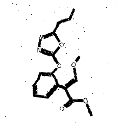 CCCc1nnc(Oc2ccccc2/C(=C\OC)C(=O)OC)o1